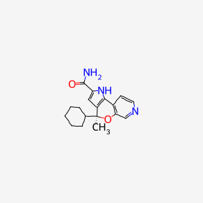 C[C@@]1(C2CCCCC2)Oc2cnccc2-c2[nH]c(C(N)=O)cc21